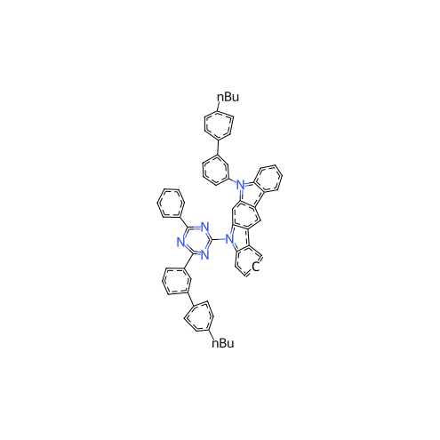 CCCCc1ccc(-c2cccc(-c3nc(-c4ccccc4)nc(-n4c5ccccc5c5cc6c7ccccc7n(-c7cccc(-c8ccc(CCCC)cc8)c7)c6cc54)n3)c2)cc1